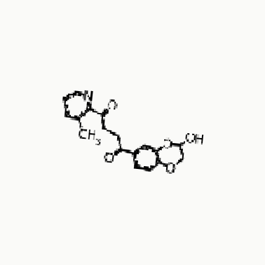 Cc1cccnc1C(=O)CCC(=O)c1ccc2c(c1)OC(O)CO2